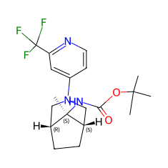 CC(C)(C)OC(=O)N[C@]1(C)[C@@H]2CC[C@H]1CN(c1ccnc(C(F)(F)F)c1)C2